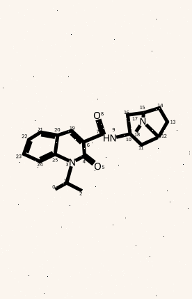 CC(C)n1c(=O)c(C(=O)NC2CC3CCC(C2)N3C)cc2ccccc21